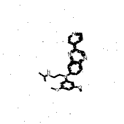 COc1cc(OC)cc(N(CCNC(C)C)c2ccc3ncc(-c4ccncc4)nc3c2)c1